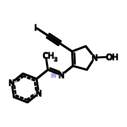 C/C(=N\C1=C(C#CI)CN(O)C1)c1cnccn1